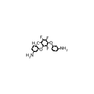 Cc1c(F)c(F)c(Oc2cccc(N)c2)c(F)c1Oc1cccc(N)c1